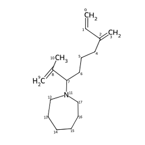 C=CC(=C)CCCC(C(=C)C)N1CCCCCC1